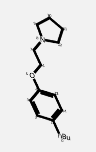 CCCCc1ccc(OCCN2CCCC2)cc1